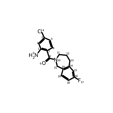 Nc1cc(Cl)ccc1C(=O)N1CCCc2cc(F)ccc2C1